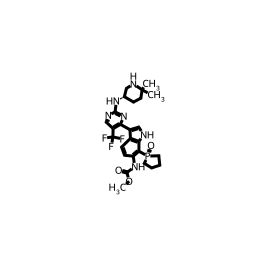 COC(=O)Nc1ccc2c(-c3nc(N[C@H]4CCC(C)(C)NC4)ncc3C(F)(F)F)c[nH]c2c1P1(=O)CCCC1